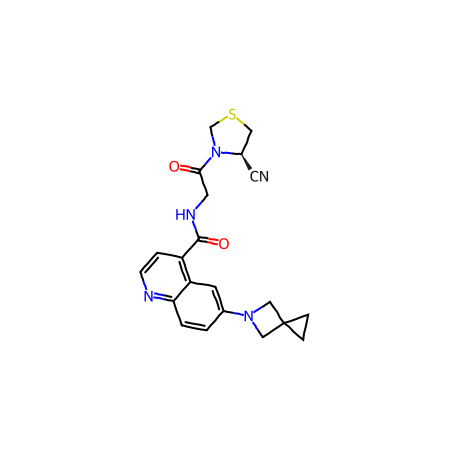 N#C[C@@H]1CSCN1C(=O)CNC(=O)c1ccnc2ccc(N3CC4(CC4)C3)cc12